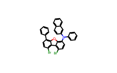 Brc1ccc(-c2ccccc2)c2oc3c(N(c4ccccc4)c4ccc5ccccc5c4)ccc(Br)c3c12